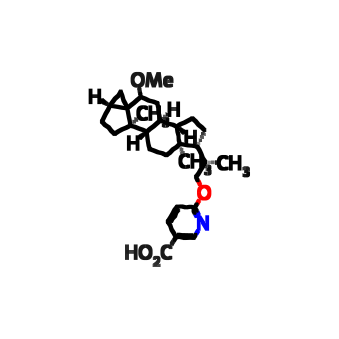 COC1C[C@H]2[C@@H]3CC[C@H]([C@H](C)COc4ccc(C(=O)O)cn4)[C@@]3(C)CC[C@@H]2[C@@]2(C)CC[C@@H]3CC132